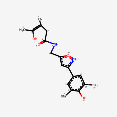 CC(O)=C(C#N)CC(=O)NCc1cc(-c2cc(C(C)(C)C)c(O)c(C(C)(C)C)c2)no1